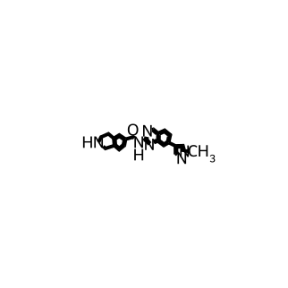 Cn1cc(-c2ccc3cnc(NC(=O)c4ccc5c(c4)CCNC5)nc3c2)cn1